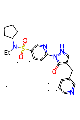 CCN(C1CCCC1)S(=O)(=O)c1ccc(-n2[nH]cc(Cc3cccnc3)c2=O)nc1